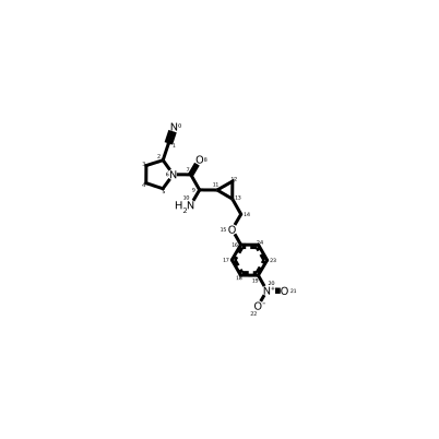 N#CC1CCCN1C(=O)C(N)C1CC1COc1ccc([N+](=O)[O-])cc1